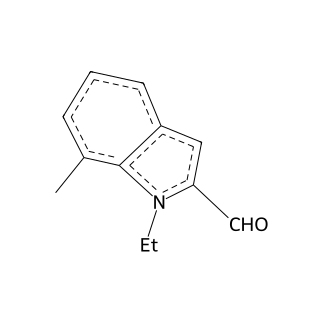 CCn1c(C=O)cc2cccc(C)c21